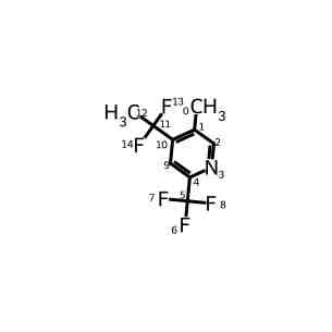 Cc1cnc(C(F)(F)F)cc1C(C)(F)F